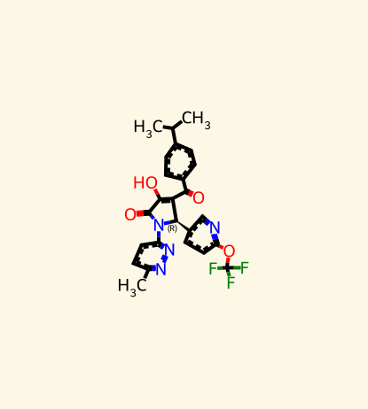 Cc1ccc(N2C(=O)C(O)=C(C(=O)c3ccc(C(C)C)cc3)[C@H]2c2ccc(OC(F)(F)F)nc2)nn1